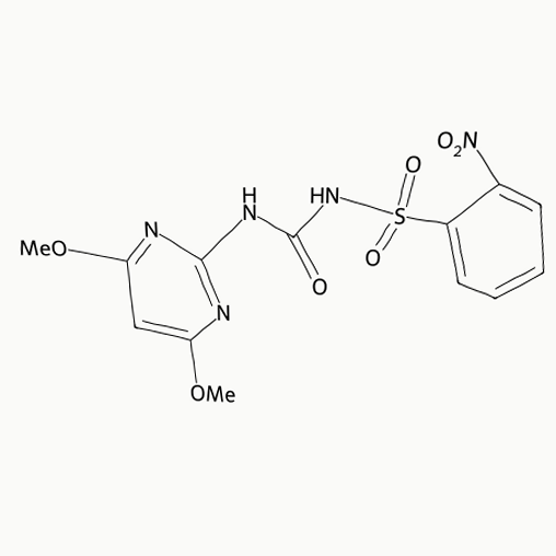 COc1cc(OC)nc(NC(=O)NS(=O)(=O)c2ccccc2[N+](=O)[O-])n1